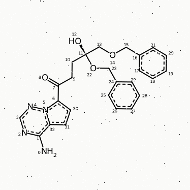 Nc1ncnn2c(C(=O)CC[C@](O)(COCc3ccccc3)OCc3ccccc3)ccc12